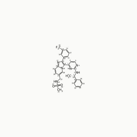 C[C@H](Nc1nccc(-c2c(-c3cccc(C(F)(F)F)c3)nc3ccc(CNS(C)(=O)=O)cn23)n1)c1ccccc1